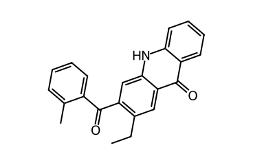 CCc1cc2c(=O)c3ccccc3[nH]c2cc1C(=O)c1ccccc1C